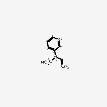 C=CN(C(=O)O)c1cccnc1